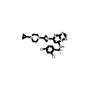 C[C@@H](Nc1cc(N2CC(N3CCN(C4CC4)CC3)C2)nc2ncnn12)c1ccc(Cl)cc1Cl